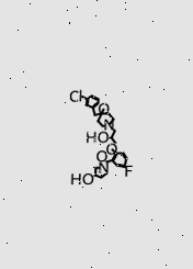 O=C(c1cc(F)ccc1OC[C@@H](O)CN1CCC2(CC1)Cc1cc(Cl)ccc1O2)N1CC[C@H](O)C1